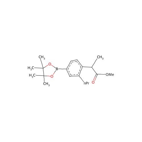 CCCc1cc(B2OC(C)(C)C(C)(C)O2)ccc1C(C)C(=O)OC